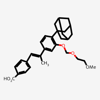 COCCOCOc1cc(/C(C)=C/c2ccc(C(=O)O)cc2)ccc1C12CC3CC(CC(C3)C1)C2